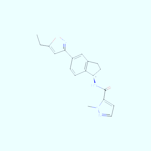 CCc1cc(-c2ccc3c(c2)CC[C@H]3NC(=O)c2ccnn2C)no1